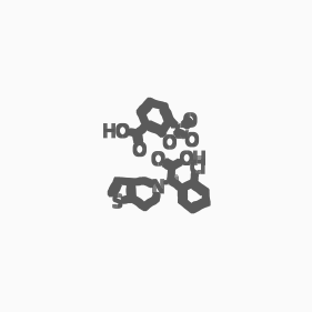 O=C(O)[C@H](c1ccccc1Cl)N1CCc2sccc2C1.O=C(O)c1cccc2c1OS2(=O)=O